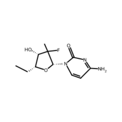 CC[C@H]1O[C@@H](n2ccc(N)nc2=O)C(C)(F)[C@H]1O